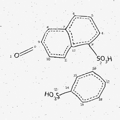 C=O.O=S(=O)(O)c1cccc2ccccc12.O=S(=O)(O)c1ccccc1